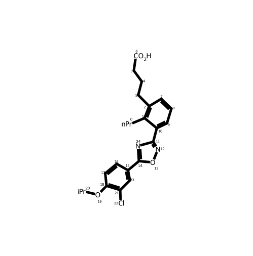 CCCc1c(CCCC(=O)O)cccc1-c1noc(-c2ccc(OC(C)C)c(Cl)c2)n1